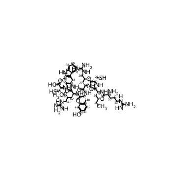 CCCC[C@H](NC(=O)[C@@H](N)CCCNC(=N)N)C(=O)N[C@@H](CS)C(=O)N[C@@H](CCCNC(=N)N)C(=O)N[C@H](Cc1ccc(O)cc1)C(=O)N[C@@H](CC(CNC(=N)N)OC)C(=O)N[C@H](Cc1c[nH]c2ccccc12)C(=O)N[C@@H](CS)C(=O)O